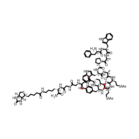 CSCC[C@H](NC(=O)[C@H](C)NC(=O)[C@H](Cc1c[nH]c2ccccc12)NC(=O)[C@@H]1CCCN1C(=O)[C@H](C)NC(=O)[C@H](Cc1c[nH]c2ccccc12)NC(=O)[C@@H](N)Cc1ccccc1)C(=O)N[C@@H](CCSC)C(=O)N[C@@H](Cc1ccc(O)cc1)C(=O)N[C@@H](CCCCN)C(=O)NCC(=O)NCC(=O)NCC(=O)N[C@@H](CCCCNC(=O)CCCC[C@@H]1SC[C@@H]2NC(=O)N[C@@H]21)C(N)=O